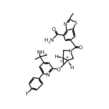 Cc1nc2c(C(N)=O)cc(C(=O)N3C[C@@H]4C(Oc5cc(C(C)(C)N)cc(-c6ccc(F)cc6)n5)[C@@H]4C3)cc2s1